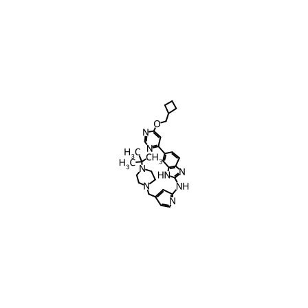 CC(C)(C)N1CCN(Cc2ccnc(Nc3nc4ccc(-c5cc(OCC6CCC6)ncn5)cc4[nH]3)c2)CC1